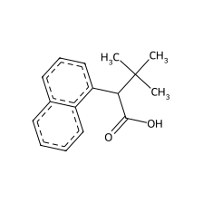 CC(C)(C)C(C(=O)O)c1cccc2ccccc12